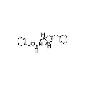 O=C(OCc1ccccc1)N1C[C@H]2CC(Cc3ccccc3)=C[C@H]2C1